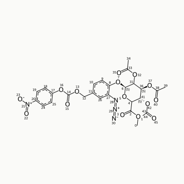 COC(=O)C1O[C@@H](Oc2ccc(COC(=O)Oc3ccc([N+](=O)[O-])cc3)cc2N=[N+]=[N-])C(OC(C)=O)[C@@H](OC(C)=O)[C@@H]1OC(C)=O